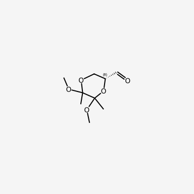 COC1(C)OC[C@H](C=O)OC1(C)OC